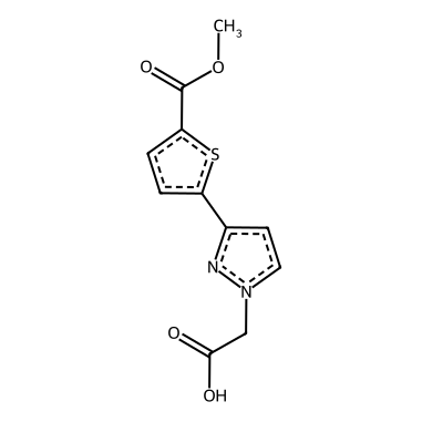 COC(=O)c1ccc(-c2ccn(CC(=O)O)n2)s1